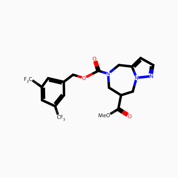 COC(=O)C1CN(C(=O)OCc2cc(C(F)(F)F)cc(C(F)(F)F)c2)Cc2ccnn2C1